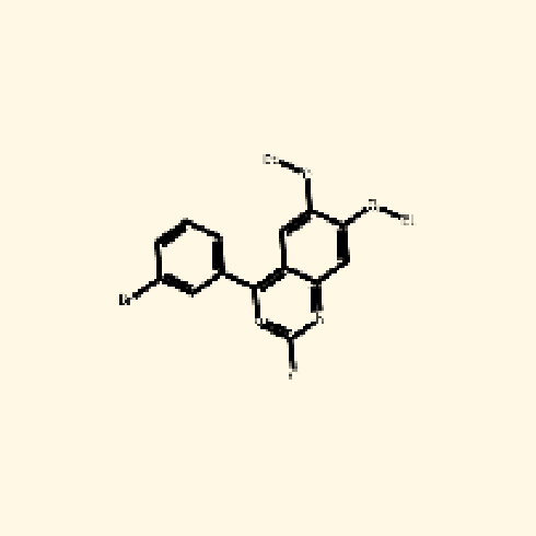 CCOc1cc2nc(Cl)nc(-c3cccc(Br)c3)c2cc1OCC